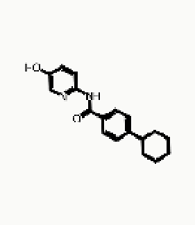 O=C(Nc1ccc(O)cn1)c1ccc(C2CCCCC2)cc1